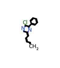 C=C/C=C\C=C1/CN=C(Cl)C(c2ccccc2)=N1